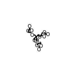 CCC(COC1COC(=O)O1)(COC1COC(=O)O1)COC1COC(=O)O1